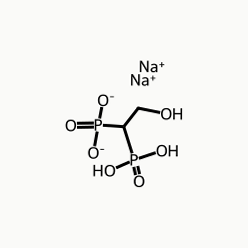 O=P([O-])([O-])C(CO)P(=O)(O)O.[Na+].[Na+]